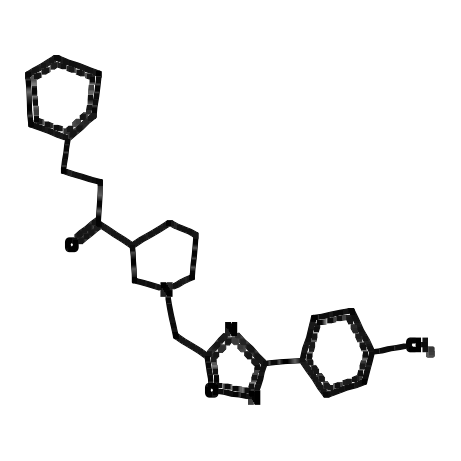 Cc1ccc(-c2noc(CN3CCCC(C(=O)CCc4ccccc4)C3)n2)cc1